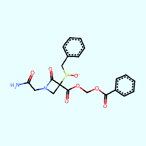 NC(=O)CN1CC(C(=O)OCOC(=O)c2ccccc2)([S+]([O-])Cc2ccccc2)C1=O